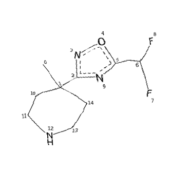 CC1(c2noc(C(F)F)n2)CCNCC1